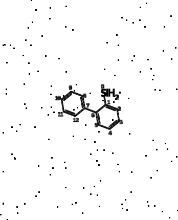 [SiH2]c1ccccc1-c1ccccc1